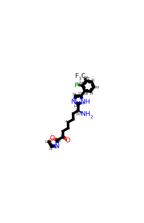 N[C@@H](CCCCCC(=O)c1ncco1)c1ncc(-c2cccc(C(F)(F)F)c2F)[nH]1